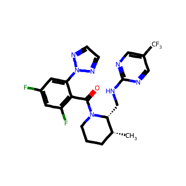 C[C@@H]1CCCN(C(=O)c2c(F)cc(F)cc2-n2nccn2)[C@@H]1CNc1ncc(C(F)(F)F)cn1